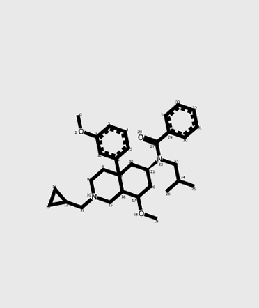 COc1cccc(C23CCN(CC4CC4)CC2C(OC)C[C@H](N(CC(C)C)C(=O)c2ccccc2)C3)c1